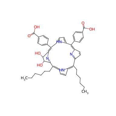 CCCCCCc1c2nc(c(-c3ccc(C(=O)O)cc3)c3ccc([nH]3)c(-c3ccc(C(=O)O)cc3)c3nc(c(CCCCCC)c4ccc1[nH]4)C(O)C3O)C=C2